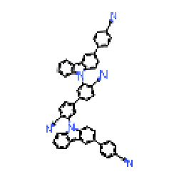 N#Cc1ccc(-c2ccc3c(c2)c2ccccc2n3-c2cc(-c3ccc(C#N)c(-n4c5ccccc5c5cc(-c6ccc(C#N)cc6)ccc54)c3)ccc2C#N)cc1